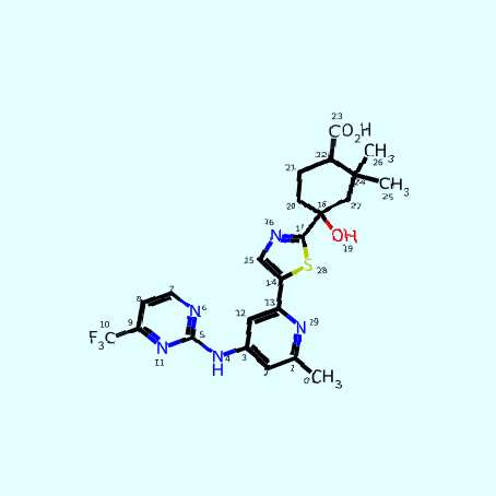 Cc1cc(Nc2nccc(C(F)(F)F)n2)cc(-c2cnc(C3(O)CCC(C(=O)O)C(C)(C)C3)s2)n1